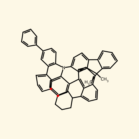 CC1(C)c2ccccc2-c2ccc(N(c3ccc(-c4ccccc4)cc3-c3ccccc3)c3ccccc3-c3cccc4cccc(C5CCCCC5)c34)cc21